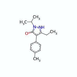 CCc1[nH]n(C(C)C)c(=O)c1-c1ccc(C)cc1